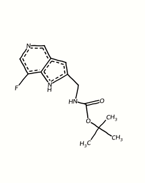 CC(C)(C)OC(=O)NCc1cc2cncc(F)c2[nH]1